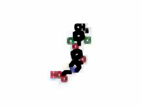 Cc1cc(Cl)c(COc2ccc3c(c2)OCC32CCN(CCC(=O)O)CC2)c(Cl)c1